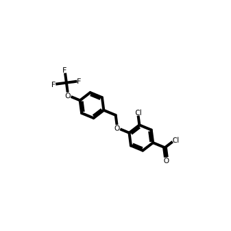 O=C(Cl)c1ccc(OCc2ccc(OC(F)(F)F)cc2)c(Cl)c1